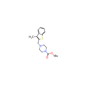 Cc1c(CN2CCN(C(=O)OC(C)(C)C)CC2)sc2ccccc12